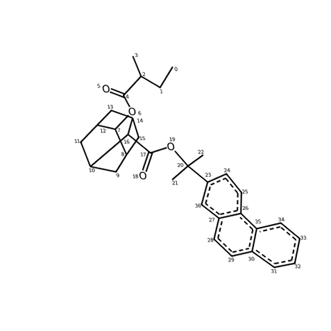 CCC(C)C(=O)OC1C2CC3CC1CC(C2)C3C(=O)OC(C)(C)c1ccc2c(ccc3ccccc32)c1